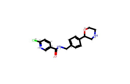 O=C(NCc1ccc(C2CNCCO2)cc1)c1ccc(Cl)nc1